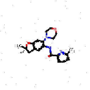 CC(C)[C@@]1(C)Cc2cc(NC(=O)c3cccc(C(F)(F)F)n3)c(N3CCOCC3)cc2O1